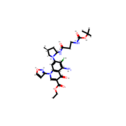 CCOC(=O)c1cn(-c2ccon2)c2cc(N3C[C@@H](C)CC3NC(=O)CCNC(=O)OC(C)(C)C)c(F)c(N)c2c1=O